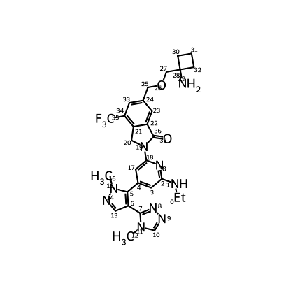 CCNc1cc(-c2c(-c3nncn3C)cnn2C)cc(N2Cc3c(cc(COCC4(N)CCC4)cc3C(F)(F)F)C2=O)n1